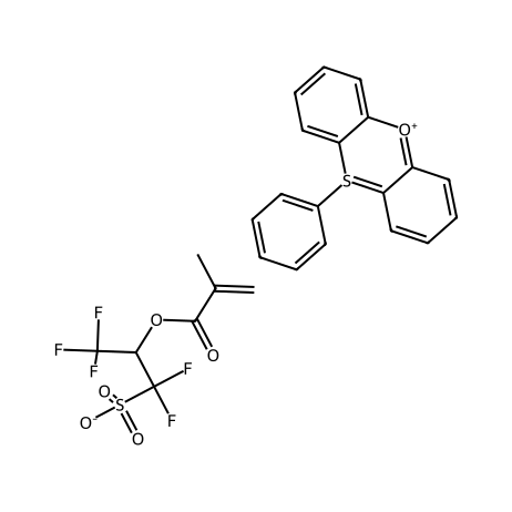 C=C(C)C(=O)OC(C(F)(F)F)C(F)(F)S(=O)(=O)[O-].c1ccc(S2=c3ccccc3=[O+]c3ccccc32)cc1